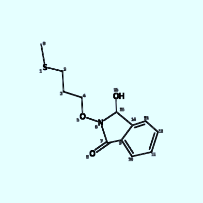 CSCCCON1C(=O)c2ccccc2C1O